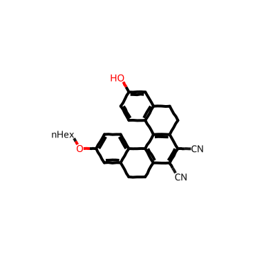 CCCCCCOc1ccc2c(c1)CCc1c(C#N)c(C#N)c3c(c1-2)-c1ccc(O)cc1CC3